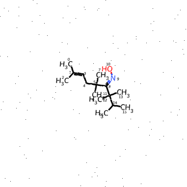 CC(C)=CCC(C)(C)/C(=N\O)C(C)(C)C(C)C